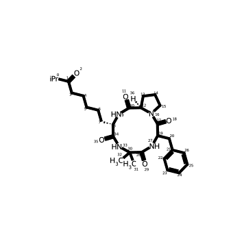 CC(C)C(=O)CCCCC[C@@H]1NC(=O)[C@H]2CCCN2C(=O)C(Cc2ccccc2)NC(=O)C(C)(C)NC1=O